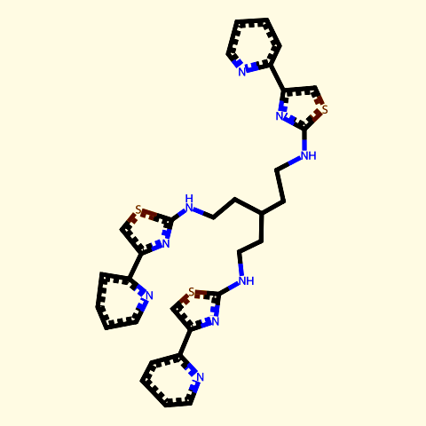 c1ccc(-c2csc(NCCC(CCNc3nc(-c4ccccn4)cs3)CCNc3nc(-c4ccccn4)cs3)n2)nc1